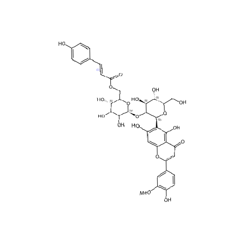 COc1cc(-c2cc(=O)c3c(O)c([C@@H]4OC(CO)[C@@H](O)[C@H](O)C4O[C@@H]4OC(COC(=O)/C=C/c5ccc(O)cc5)[C@@H](O)C(O)C4O)c(O)cc3o2)ccc1O